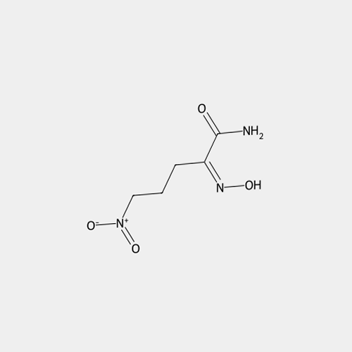 NC(=O)C(CCC[N+](=O)[O-])=NO